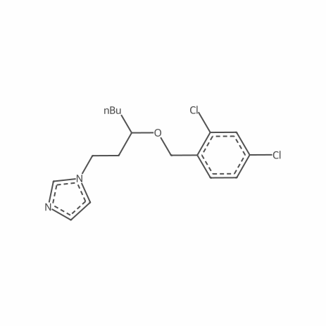 CCCCC(CCn1ccnc1)OCc1ccc(Cl)cc1Cl